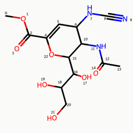 COC(=O)C1=CC(NC#N)C(NC(C)=O)C(C(O)C(O)CO)O1